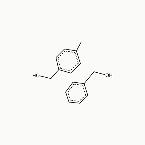 Cc1ccc(CO)cc1.OCc1ccccc1